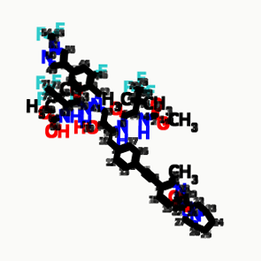 COC(=O)N[C@H](C(=O)N[C@@H](Cc1ccc(C#Cc2ccc(N3CC4CCC(C3)N4C3COC3)nc2C)cc1)[C@@H](O)CN(Cc1c(F)cc(-c2cnn(C(F)F)c2)cc1F)NC(=O)[C@@H](NC(=O)O)C(C)(C)C(F)(F)F)C(C)(C)C(F)(F)F